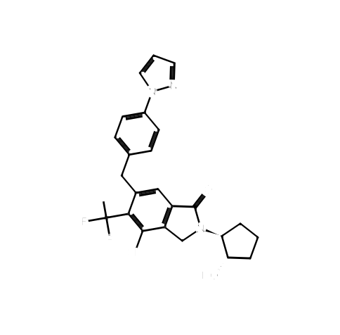 O=C1c2cc(Cc3ccc(-n4cccn4)cc3)c(C(F)(F)F)c(Cl)c2CN1[C@H]1CCC[C@@H]1O